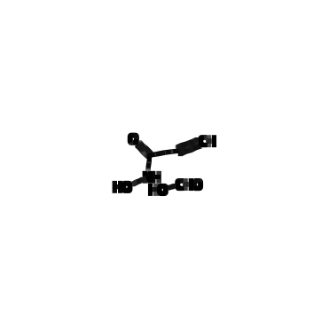 C#CC(=O)NO.O=CO